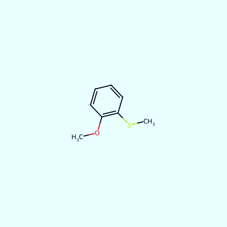 COc1[c]cccc1SC